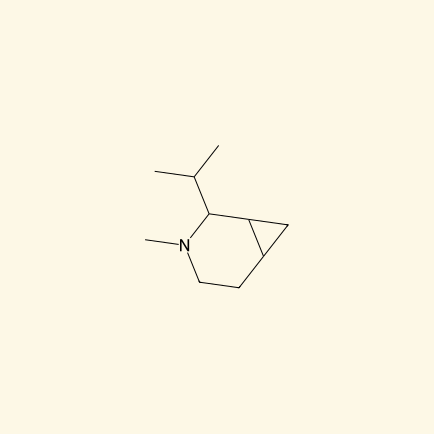 CC(C)C1C2CC2CCN1C